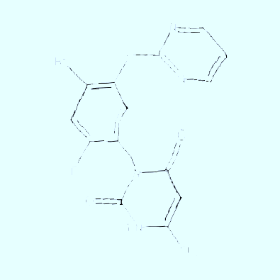 O=c1cc(C(F)(F)F)[nH]c(=O)n1-c1cc(Oc2ncccn2)c(Br)cc1F